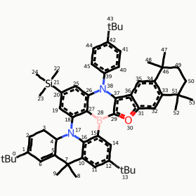 CC(C)(C)C1=CCC2C(=C1)C(C)(C)c1cc(C(C)(C)C)cc3c1N2c1cc([Si](C)(C)C)cc2c1B3c1oc3cc4c(cc3c1N2c1ccc(C(C)(C)C)cc1)C(C)(C)CCC4(C)C